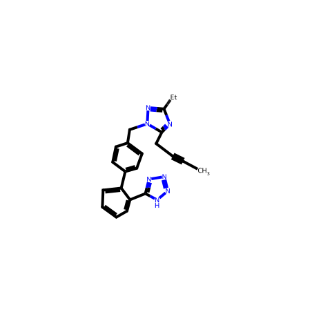 CC#CCc1nc(CC)nn1Cc1ccc(-c2ccccc2-c2nnn[nH]2)cc1